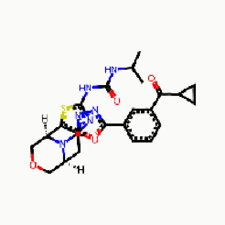 CC(C)NC(=O)Nc1nc2c(s1)[C@@H]1COC[C@H](C2)N1c1nnc(-c2cccc(C(=O)C3CC3)c2)o1